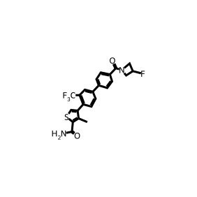 Cc1c(-c2ccc(-c3ccc(C(=O)N4CC(F)C4)cc3)cc2C(F)(F)F)csc1C(N)=O